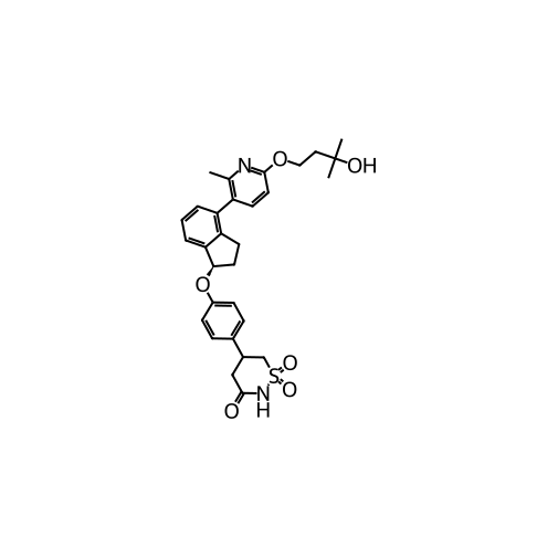 Cc1nc(OCCC(C)(C)O)ccc1-c1cccc2c1CC[C@H]2Oc1ccc(C2CC(=O)NS(=O)(=O)C2)cc1